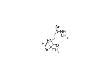 CC(=O)N(CCNC(=O)C(C)(C)Br)NN